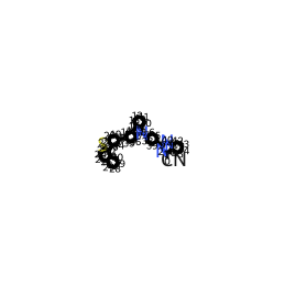 N#Cc1nc(-c2ccc(-n3c4ccccc4c4cc(-c5ccc6sc7ccc8ccccc8c7c6c5)ccc43)cc2)nc2ccccc12